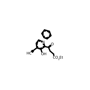 C#Cc1ccnc(C(=O)CCC(=O)OCC)c1O.c1ccccc1